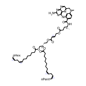 CCCCC/C=C\C/C=C\CCCCCCCC(=O)O[C@@H](CCOC(=O)/C=C/COC(=O)CC[C@@H](C)NC(=O)c1ccc(N(C)Cc2cnc3nc(N)nc(N)c3n2)cc1)COC(=O)CCCCCC/C=C\C/C=C\CCCCCC